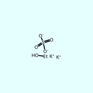 CCO.O=S(=O)([O-])[O-].[K+].[K+]